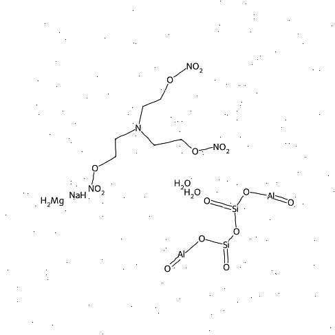 O.O.O=[N+]([O-])OCCN(CCO[N+](=O)[O-])CCO[N+](=O)[O-].[MgH2].[NaH].[O]=[Al][O][Si](=O)O[Si](=O)[O][Al]=[O]